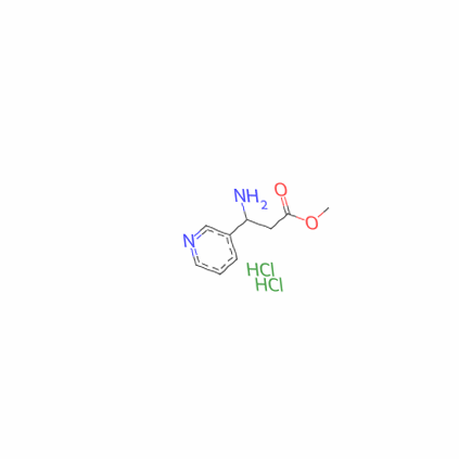 COC(=O)CC(N)c1cccnc1.Cl.Cl